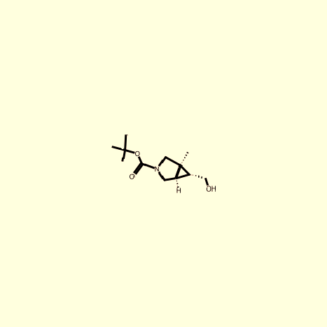 CC(C)(C)OC(=O)N1C[C@@H]2[C@@H](CO)[C@]2(C)C1